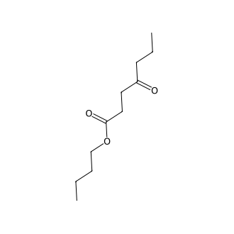 CCCCOC(=O)CCC(=O)CCC